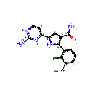 COc1cccc(-c2[nH]c(-c3ccnc(N)n3)cc2C(N)=O)c1Cl